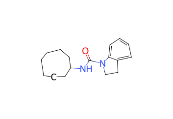 O=C(NC1CCCCCCC1)N1CCc2ccccc21